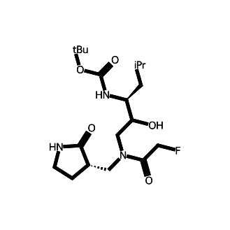 CC(C)C[C@H](NC(=O)OC(C)(C)C)C(O)CN(C[C@@H]1CCNC1=O)C(=O)CF